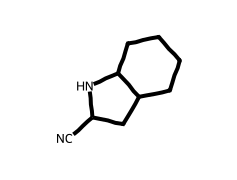 N#CC1CC2CCCCC2N1